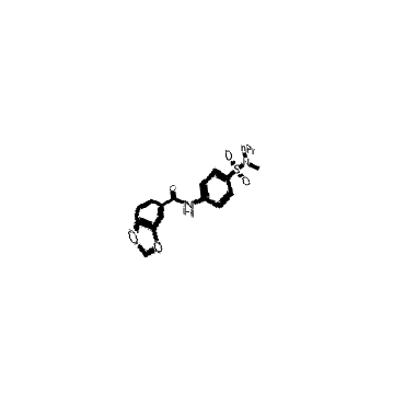 CCCN(C)S(=O)(=O)c1ccc(NC(=O)c2ccc3c(c2)OCO3)cc1